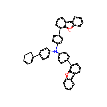 C1=CCCC(c2ccc(N(c3ccc(-c4cccc5c4oc4ccccc45)cc3)c3ccc(-c4cccc5c4oc4ccccc45)cc3)cc2)=C1